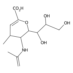 C=C(C)NC1C(C)C=C(C(=O)O)OC1C(O)C(O)CO